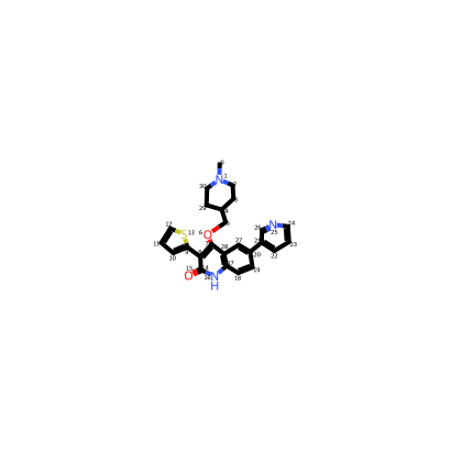 CN1CCC(COc2c(-c3cccs3)c(=O)[nH]c3ccc(-c4cccnc4)cc23)CC1